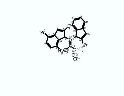 CC1=Cc2c(C(C)C)ccc(C)c2[CH]1[Zr+2]([CH]1C(C(C)C)=Cc2ccccc21)=[Si](C)C.[Cl-].[Cl-]